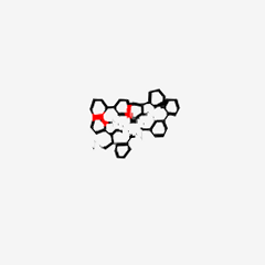 C=N/C=C\c1c(C)n(-c2c(-c3nc(-c4ccccc4)nc(-c4cccc(-c5ccccc5C)c4-n4c5ccccc5c5ccncc54)n3)cccc2-c2ccccc2C)c2ccccc12